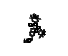 CN1C(C)(C)CC(OC(=O)C(=Cc2ccc(CO)cc2)C(=O)OC2CC(C)(C)N(C)C(C)(C)C2)CC1(C)C